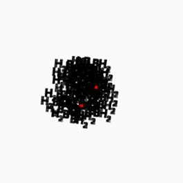 Bc1c(B)c(B)c(C(c2c(B)c(B)c(B)c(B)c2B)(c2c(B)c(B)c(B)c(B)c2B)c2c(B)c(B)c(B)c(-c3nc(-n4c5c(B)c(B)c(B)c(B)c5c5c(B)c(B)c(B)c(B)c54)nc(-n4c5c(B)c(B)c(B)c(B)c5c5c(B)c(B)c(B)c(B)c54)n3)c2B)c(B)c1B